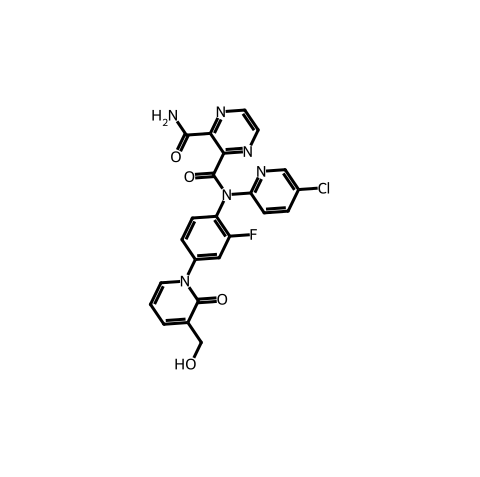 NC(=O)c1nccnc1C(=O)N(c1ccc(Cl)cn1)c1ccc(-n2cccc(CO)c2=O)cc1F